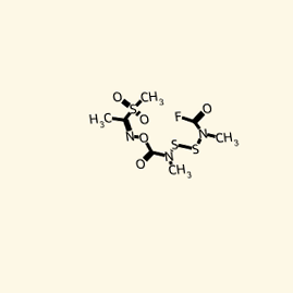 CC(=NOC(=O)N(C)SSN(C)C(=O)F)S(C)(=O)=O